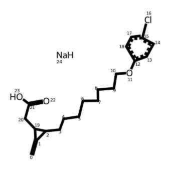 C=C1C(CCCCCCCCOc2ccc(Cl)cc2)C1CC(=O)O.[NaH]